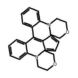 C1=CC(=C(c2ccccc2N2CCOCC2)c2ccccc2N2CCOCC2)C=C1